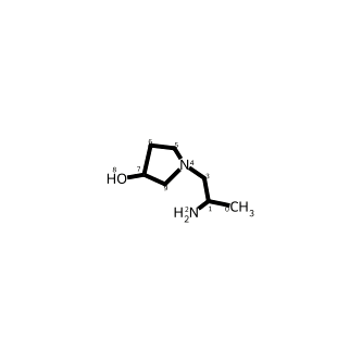 CC(N)CN1CCC(O)C1